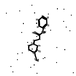 CC(=O)N1CCN(CCC(=O)Nc2cc[c]cc2)CC1